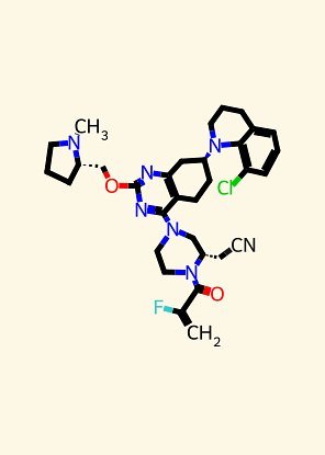 C=C(F)C(=O)N1CCN(c2nc(OC[C@@H]3CCCN3C)nc3c2CC[C@H](N2CCCc4cccc(Cl)c42)C3)C[C@@H]1CC#N